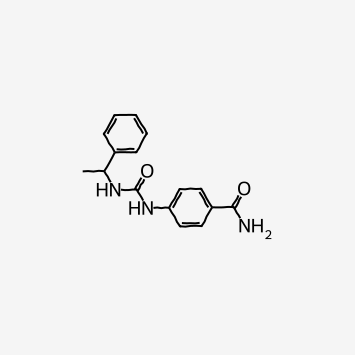 CC(NC(=O)Nc1ccc(C(N)=O)cc1)c1ccccc1